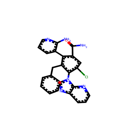 NC(=O)c1cc(Cl)c(-n2cnc3cccnc32)c(Cc2ccccc2)c1-c1cccnc1N